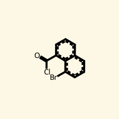 O=C(Cl)c1cccc2cccc(Br)c12